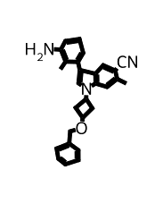 Cc1cc2c(cc1C#N)c(-c1cccc(N)c1C)cn2C1CC(OCc2ccccc2)C1